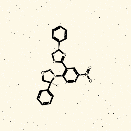 O=[N+]([O-])c1ccc(N2[CH]OC[C@]2(F)c2ccccc2)c(C2=N[C@H](c3ccccc3)CO2)c1